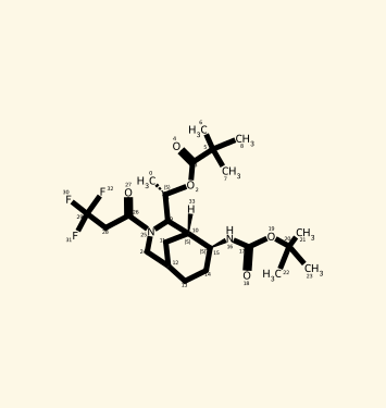 C[C@H](OC(=O)C(C)(C)C)C1[C@H]2CC(CC[C@@H]2NC(=O)OC(C)(C)C)CN1C(=O)CC(F)(F)F